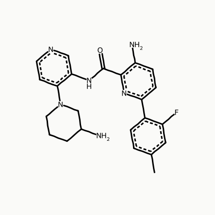 Cc1ccc(-c2ccc(N)c(C(=O)Nc3cnccc3N3CCCC(N)C3)n2)c(F)c1